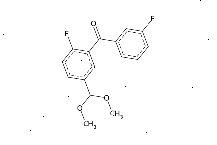 COC(OC)c1ccc(F)c(C(=O)c2cccc(F)c2)c1